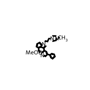 COC(=O)c1cccc2c1c(-c1cncc(-c3ccccc3)c1)cn2CCCN1CCN(C)CC1